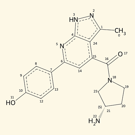 Cc1n[nH]c2nc(-c3ccc(O)cc3)cc(C(=O)N3CC[C@H](N)C3)c12